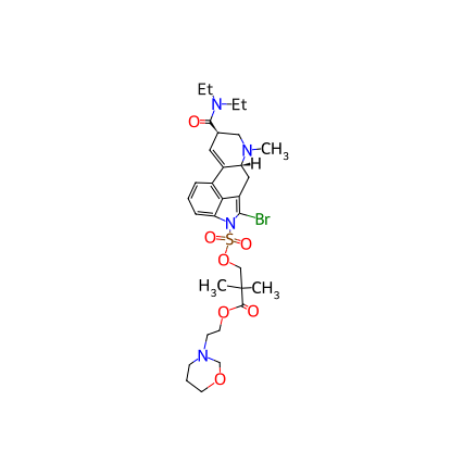 CCN(CC)C(=O)[C@@H]1C=C2c3cccc4c3c(c(Br)n4S(=O)(=O)OCC(C)(C)C(=O)OCCN3CCCOC3)C[C@H]2N(C)C1